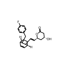 O=C1C[C@H](O)C[C@@H](/C=C/C2[C@@H](Cc3ccc(F)cc3)C3C=C[C@H]2CC3)O1